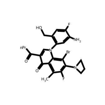 CCCC(=O)c1cn(-c2cc(N)c(F)cc2CO)c2c(Br)c(N3CCC3)c(F)c(C)c2c1=O